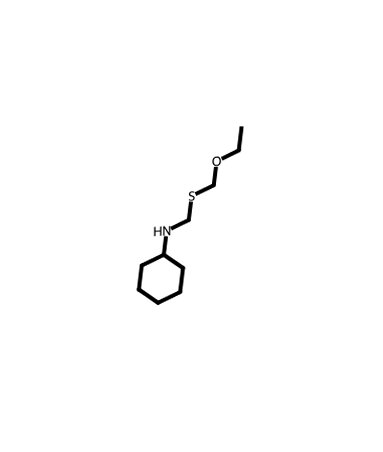 CCOCSCNC1CCCCC1